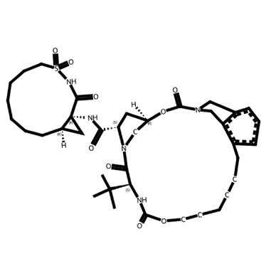 CC(C)(C)[C@@H]1NC(=O)OCCCCCCc2cccc3c2CN(C3)C(=O)O[C@@H]2C[C@@H](C(=O)N[C@]34C[C@H]3CCCCCCCS(=O)(=O)NC4=O)N(C2)C1=O